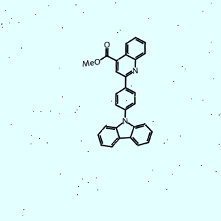 COC(=O)c1cc(-c2ccc(-n3c4ccccc4c4ccccc43)cc2)nc2ccccc12